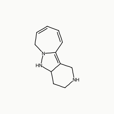 C1=CCN2NC3CCNCC3=C2C=C1